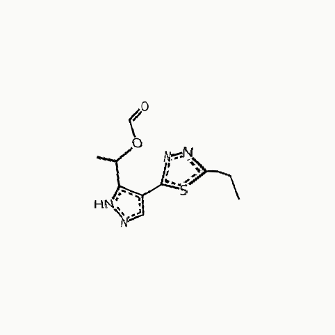 CCc1nnc(-c2cn[nH]c2C(C)OC=O)s1